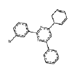 Brc1cccc(-c2nc(-c3ccccc3)cc(C3C=CC=CC3)n2)c1